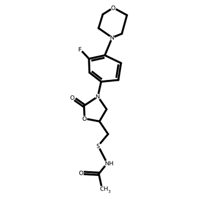 CC(=O)NSCC1CN(c2ccc(N3CCOCC3)c(F)c2)C(=O)O1